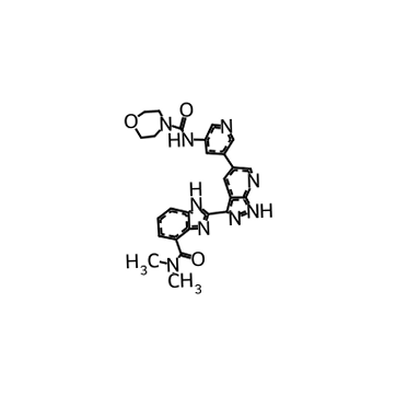 CN(C)C(=O)c1cccc2[nH]c(-c3n[nH]c4ncc(-c5cncc(NC(=O)N6CCOCC6)c5)cc34)nc12